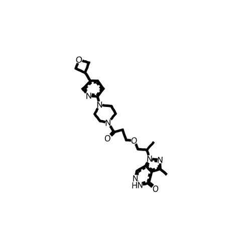 Cc1nn(C(C)COCCC(=O)N2CCN(c3ccc(C4COC4)cn3)CC2)c2cn[nH]c(=O)c12